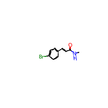 CNC(=O)C=Cc1ccc(Br)cc1